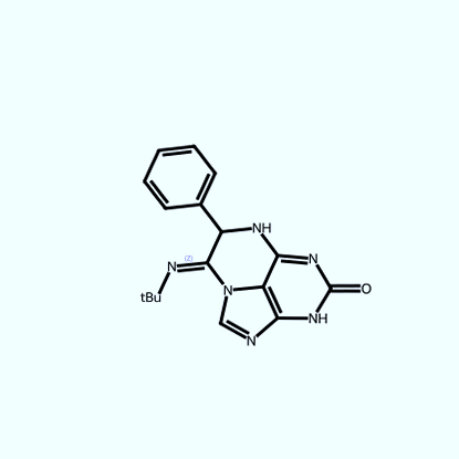 CC(C)(C)/N=C1/C(c2ccccc2)Nc2nc(=O)[nH]c3ncn1c23